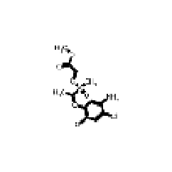 COC(=O)COP(C)(=O)C(C)Oc1cc(N)c(Cl)cc1Cl